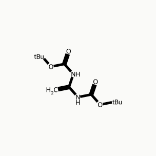 C=C(NC(=O)OC(C)(C)C)NC(=O)OC(C)(C)C